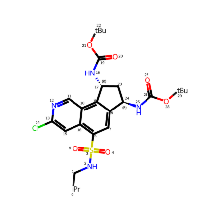 CC(C)CNS(=O)(=O)c1cc2c(c3cnc(Cl)cc13)[C@H](NC(=O)OC(C)(C)C)C[C@H]2NC(=O)OC(C)(C)C